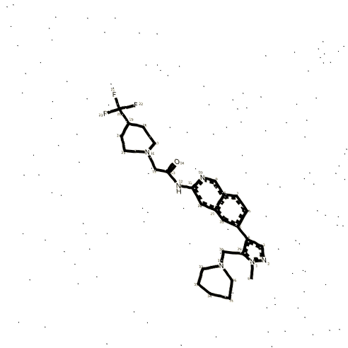 Cn1ncc(-c2ccc3cnc(NC(=O)CN4CCC(C(F)(F)F)CC4)cc3c2)c1CN1CCCCC1